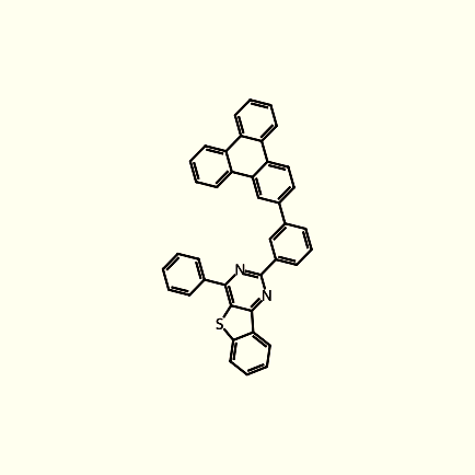 c1ccc(-c2nc(-c3cccc(-c4ccc5c6ccccc6c6ccccc6c5c4)c3)nc3c2sc2ccccc23)cc1